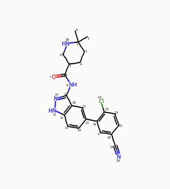 CC1(C)CCC(C(=O)Nc2n[nH]c3ccc(-c4cc(C#N)ccc4Cl)cc23)CN1